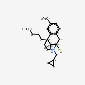 COc1ccc2c(c1)[C@@]1(CCCC(=O)O)CCN(CC3CC3)[C@@H](C2)[C@H]1C